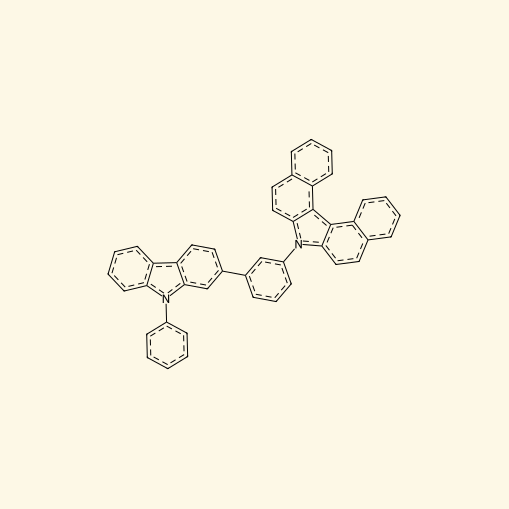 c1ccc(-n2c3ccccc3c3ccc(-c4cccc(-n5c6ccc7ccccc7c6c6c7ccccc7ccc65)c4)cc32)cc1